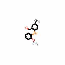 COc1ccccc1Pc1ccc(C)cc1C=O